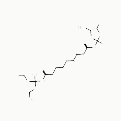 CCOC(C)(OCC)OC(=O)CCCCCCCC(=O)OC(C)(OCC)OCC